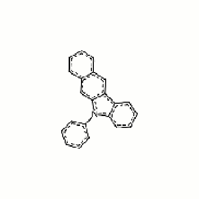 c1ccc(-n2c3ccccc3c3cc4ccccc4cc32)cc1